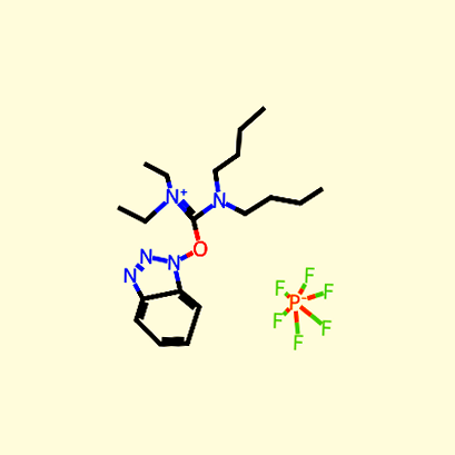 CCCCN(CCCC)C(On1nnc2ccccc21)=[N+](CC)CC.F[P-](F)(F)(F)(F)F